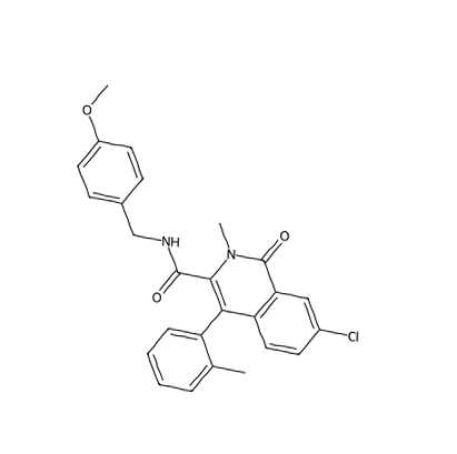 COc1ccc(CNC(=O)c2c(-c3ccccc3C)c3ccc(Cl)cc3c(=O)n2C)cc1